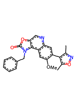 COc1cc2c(cc1-c1c(C)noc1C)ncc1oc(=O)n(Cc3ccccc3)c12